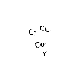 [Co].[Cr].[Cu].[Y]